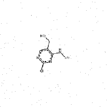 CCCNc1nc(Cl)ncc1CO